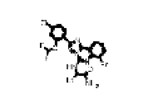 CCC(Nc1nc2c(Br)cccc2c2nc(-c3ccc(Cl)cc3OC(F)F)nn12)C(N)=O